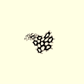 CC1(C)OB(c2cccc(-c3c(-c4ccccc4)c(-c4ccccc4)c(-c4ccccc4)c(-c4ccccc4)c3-c3ccccc3)c2)OC1(C)C